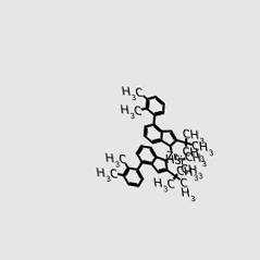 Cc1cccc(-c2cccc3c2C=C(C(C)(C)C)[CH]3[Zr]([CH]2C(C(C)(C)C)=Cc3c(-c4cccc(C)c4C)cccc32)[SiH](C)C)c1C